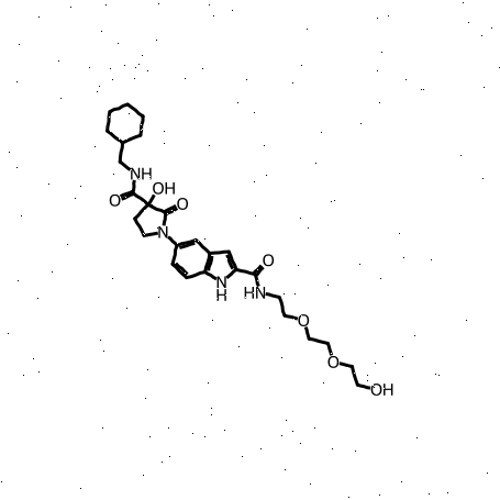 O=C(NCCOCCOCCO)c1cc2cc(N3CCC(O)(C(=O)NCC4CCCCC4)C3=O)ccc2[nH]1